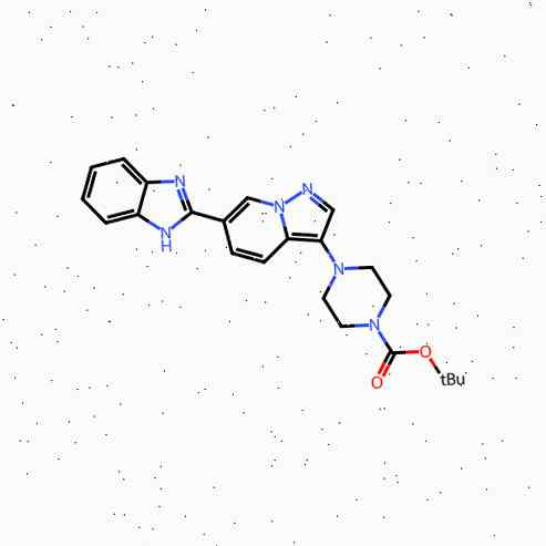 CC(C)(C)OC(=O)N1CCN(c2cnn3cc(-c4nc5ccccc5[nH]4)ccc23)CC1